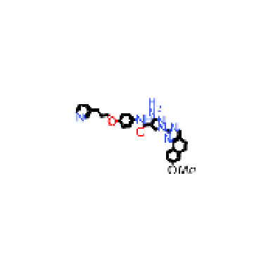 COc1ccc2c(c1)CCc1cnc(-n3cc(C(=O)Nc4ccc(OCCCc5cccnc5)cc4)c(N)n3)nc1-2